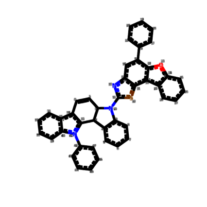 C1=CC2C(c3ccccc3N2c2nc3cc(-c4ccccc4)c4oc5ccccc5c4c3s2)c2c1c1ccccc1n2-c1ccccc1